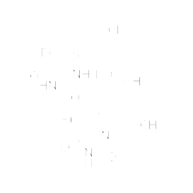 CCc1c(Sc2cc(C)cc(C)c2)[nH]c(=O)[nH]c1=O.CCc1c(Sc2cc(C)cc(C)c2)n(CC2CCCCC2)c(=O)[nH]c1=O